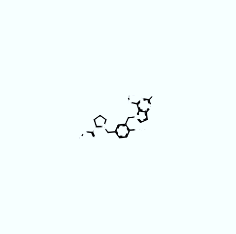 CCCCCNc1nc(N)nc2ccn(Cc3cc(CN4CCC[C@@H]4C(=O)OC(C)(C)C)ccc3OC)c12